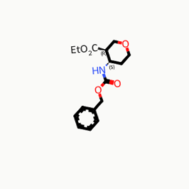 CCOC(=O)[C@H]1COCC[C@@H]1NC(=O)OCc1ccccc1